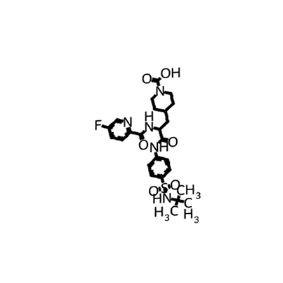 CC(C)(C)NS(=O)(=O)c1ccc(NC(=O)C(CC2CCN(C(=O)O)CC2)NC(=O)c2ccc(F)cn2)cc1